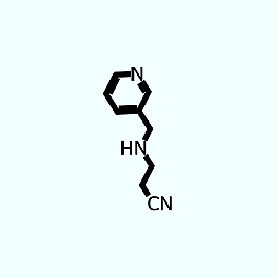 N#CCCNCc1cccnc1